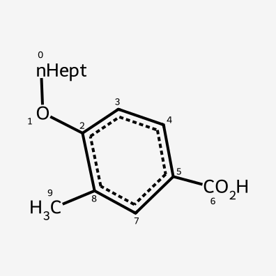 CCCCCCCOc1ccc(C(=O)O)cc1C